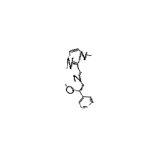 COC(CN=Cc1nccn1C)c1ccccc1